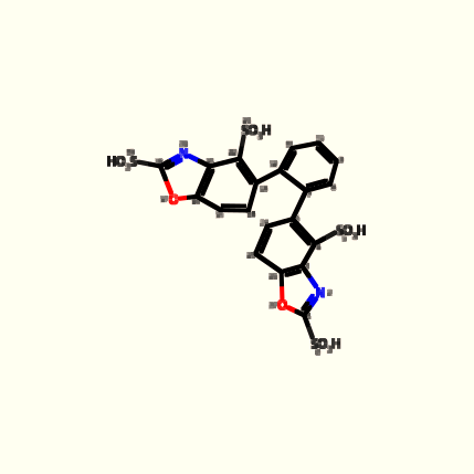 O=S(=O)(O)c1nc2c(S(=O)(=O)O)c(-c3ccccc3-c3ccc4oc(S(=O)(=O)O)nc4c3S(=O)(=O)O)ccc2o1